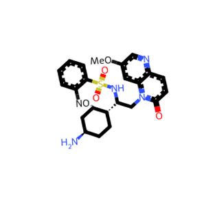 COc1cnc2ccc(=O)n(CC(NS(=O)(=O)c3ccccc3[N+](=O)[O-])[C@H]3CC[C@H](N)CC3)c2c1